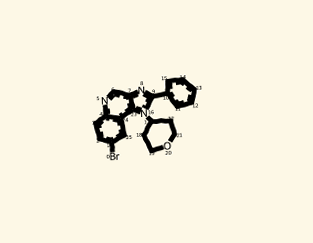 Brc1ccc2ncc3nc(-c4ccccc4)n(C4CCOCC4)c3c2c1